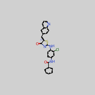 O=C1N=C(Nc2ccc(NC(=O)c3ccccc3)cc2Cl)S/C1=C\c1ccc2ncccc2c1